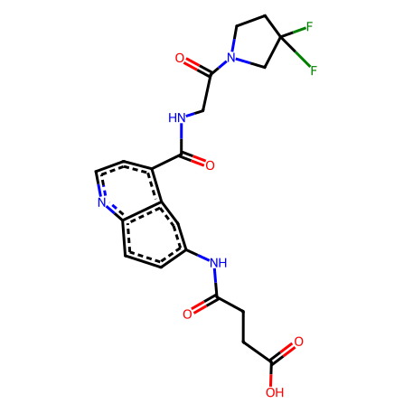 O=C(O)CCC(=O)Nc1ccc2nccc(C(=O)NCC(=O)N3CCC(F)(F)C3)c2c1